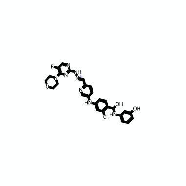 Oc1cccc(NC(O)c2ccc(Nc3ccc(/C=N/Nc4ncc(F)c(N5CCOCC5)n4)nc3)cc2Cl)c1